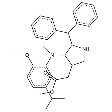 COC(=O)CC1CNC(C(c2ccccc2)c2ccccc2)C1N(C)c1cc(C(C)C)ccc1OC